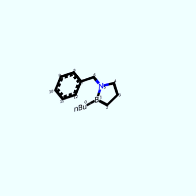 CCCCB1CCCN1Cc1ccccc1